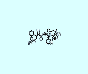 CC(C)C1(C)CC(NC(=O)[C@@H]2C[C@H]2[C@@H](c2cccnc2)N2C(=N)NC(C)(C)CC2=O)c2ccccc2O1